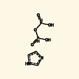 O=[PH](O)O[PH](=O)O.c1c[nH]cn1